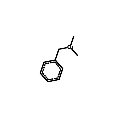 [CH3][Cu]([CH3])[CH2]c1ccccc1